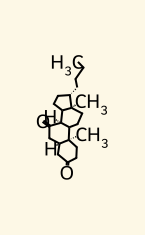 CCCC[C@H]1CCC2[C@@H]3C(=O)C[C@@H]4CC(=O)CC[C@]4(C)C3CC[C@@]21C